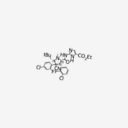 CCOC(=O)c1cnc(NC(=O)[C@H]2[C@H](c3cccc(Cl)c3F)[C@@](C#N)(c3ccc(Cl)cc3F)[C@H](CC(C)(C)C)N2C)[nH]1